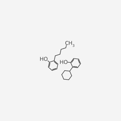 CCCCCc1ccccc1O.Oc1ccccc1C1CCCCC1